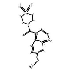 COc1ccc2c(C(=O)N3CCS(=N)(=O)CC3)ccnc2c1